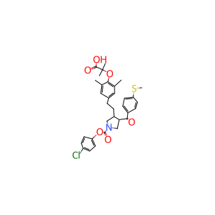 CSc1ccc(C(=O)C2CN(C(=O)Oc3ccc(Cl)cc3)CC2CCc2cc(C)c(OC(C)(C)C(=O)O)c(C)c2)cc1